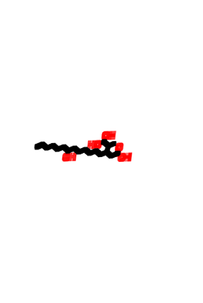 C=CCCCCC(O)CCCCCCC(CC(=O)O)C(C)C(O)O